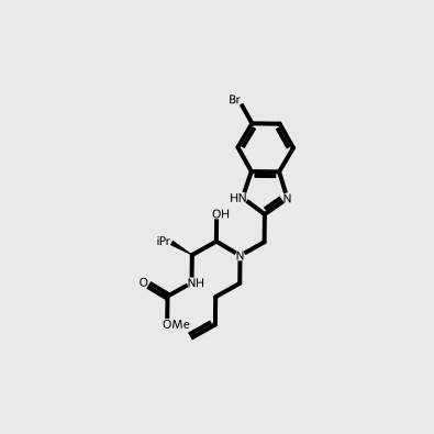 C=CCCN(Cc1nc2ccc(Br)cc2[nH]1)C(O)[C@@H](NC(=O)OC)C(C)C